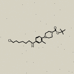 Cc1cc(NCCCCCCCl)ccc1N1CCN(C(=O)OC(C)(C)C)CC1